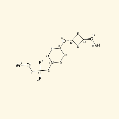 CC(C)OCC(F)(F)CN1CCC(O[C@H]2C[C@H](OS)C2)CC1